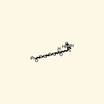 CC(C)C(=O)CCOCCOCCOCCOCCNC(=O)CCCCC1SCC2NC(=O)NC21